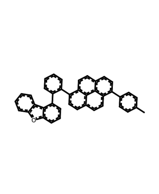 Cc1ccc(-c2ccc3ccc4c(-c5ccccc5-c5cccc6oc7ccccc7c56)ccc5ccc2c3c54)cc1